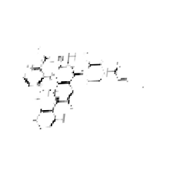 C=CC(=O)N1CCN(c2nc(=O)n(-c3c(C)ccnc3C(C)C)c3nc(C4=C(O)CCC=C4F)c(F)cc23)C(C)C1